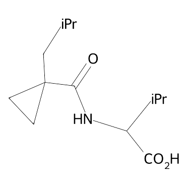 CC(C)CC1(C(=O)NC(C(=O)O)C(C)C)CC1